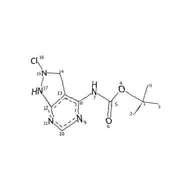 CC(C)(C)OC(=O)Nc1ncnc2c1CN(Cl)N2